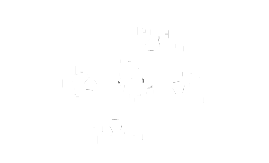 CC(C)(C)c1cc(CCC(=O)OCOC(=O)CCc2cc(C(C)(C)C)c(O)c(C(C)(C)C)c2)cc(C(C)(C)C)c1O.CC(OC(=O)CCc1cc(C(C)(C)C)c(O)c(C(C)(C)C)c1)OC(=O)CCc1cc(C(C)(C)C)c(O)c(C(C)(C)C)c1